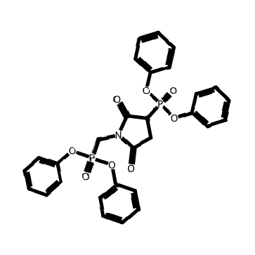 O=C1CC(P(=O)(Oc2ccccc2)Oc2ccccc2)C(=O)N1CP(=O)(Oc1ccccc1)Oc1ccccc1